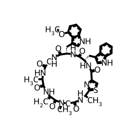 C=C1NC(=O)C(C)NC(=O)CNC(=O)[C@H](Cc2c[nH]c3cccc(OC)c23)NC(=O)[C@H](Cc2c[nH]c3ccccc23)NC(=O)c2csc(n2)C(C)NC(=O)CN(C)C1=O